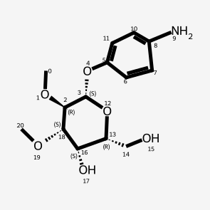 CO[C@H]1[C@H](Oc2ccc(N)cc2)O[C@H](CO)[C@H](O)[C@@H]1OC